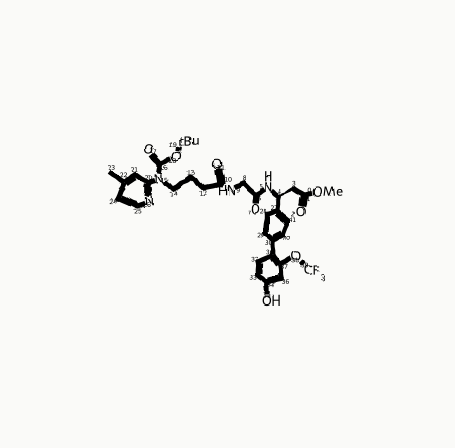 COC(=O)C[C@H](NC(=O)CNC(=O)CCCN(C(=O)OC(C)(C)C)c1cc(C)ccn1)c1ccc(-c2ccc(O)cc2OC(F)(F)F)cc1